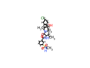 CNS(=O)(=O)c1cccc(C(=O)N[C@@H](C(=O)N2CC[C@](O)(c3ccc(Cl)cc3)C(C)(C)C2)C(C)C)c1